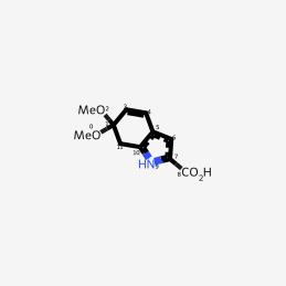 COC1(OC)C=Cc2cc(C(=O)O)[nH]c2C1